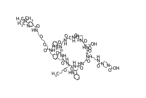 CCCOCC[C@@H]1NC(=O)[C@H](Cc2ccc(CNC(=O)COCCOCCNC(=O)c3ccc([N+](C)(C)C)nc3)cc2)NC(=O)[C@H](Cc2ccccc2)N(C)C(=O)CNC(=O)CNC(=O)[C@H]2CCCN2C(=O)[C@H](CC(=O)O)NC(=O)[C@H](CCCCNC(=O)N2CCN(CC(=O)O)CC2)NC(=O)CNC(=O)[C@H](Cc2c[nH]c3ccccc23)NC1=O